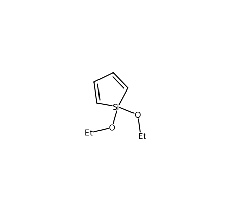 CCO[Si]1(OCC)C=CC=C1